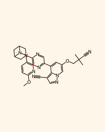 COc1ccc(CN2C3CC2CN(c2cnc(-c4cc(OCC(C)(C)C#N)cn5ncc(C#N)c45)cn2)C3)cn1